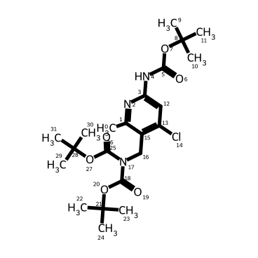 Cc1nc(NC(=O)OC(C)(C)C)cc(Cl)c1CN(C(=O)OC(C)(C)C)C(=O)OC(C)(C)C